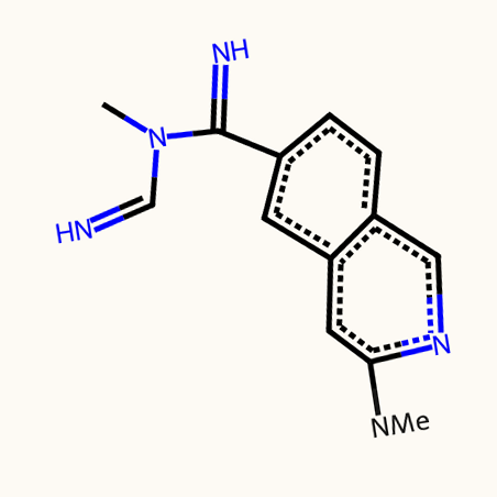 CNc1cc2cc(C(=N)N(C)C=N)ccc2cn1